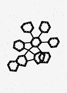 c1ccc(-c2c(-c3ccccc3)c(-c3ccccc3)c3c(c2-c2ccccc2)-c2ccccc2C32c3ccccc3-c3cc4ccccc4cc32)cc1